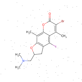 Cc1c2c(c(I)c3c(C)c(Br)c(=O)oc13)CC(CN(C)C)O2